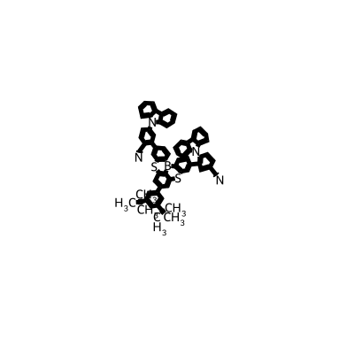 CC(C)(C)c1cc(-c2cc3c4c(c2)Sc2cc(-c5cc(C#N)ccc5-n5c6ccccc6c6ccccc65)ccc2B4c2ccc(-c4cc(-n5c6ccccc6c6ccccc65)ccc4C#N)cc2S3)cc(C(C)(C)C)c1